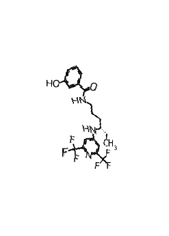 CC[C@@H](CCCNC(=O)c1cccc(O)c1)Nc1cc(C(F)(F)F)nc(C(F)(F)F)c1